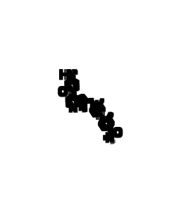 CNc1ccn(-c2ccnc3c2cc(CN2CCN(c4ccc(C(=O)N(C)C)cc4C)C[C@@H]2C)n3C)c(=O)c1